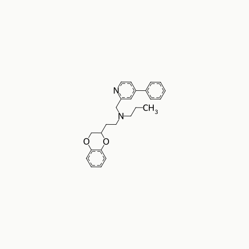 CCCN(CCC1COc2ccccc2O1)Cc1cc(-c2ccccc2)ccn1